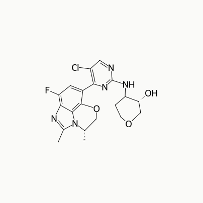 Cc1nc2c(F)cc(-c3nc(NC4CCOC[C@H]4O)ncc3Cl)c3c2n1[C@@H](C)CO3